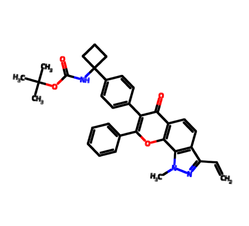 C=Cc1nn(C)c2c1ccc1c(=O)c(-c3ccc(C4(NC(=O)OC(C)(C)C)CCC4)cc3)c(-c3ccccc3)oc12